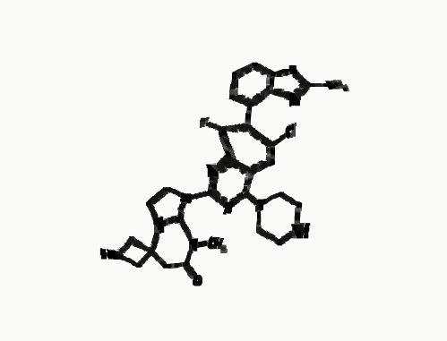 CN1C(=O)CC2(CNC2)N2C=CN(c3nc(N4CCNCC4)c4cc(Cl)c(-c5cccc6sc(N)nc56)c(F)c4n3)C12